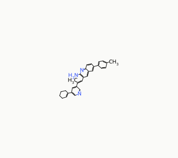 CC(=Cc1cc2cc(-c3ccc(C)cc3)ccc2nc1N)c1cncc(C2=CCCCC2)c1